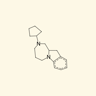 c1ccc2c(c1)CC1CN(C3CCCC3)CCCN21